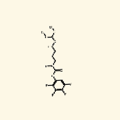 CCOC(OCC)O[SiH2]CCCN(F)C(=O)Oc1cc(F)c(F)c(F)c1F